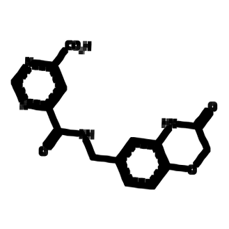 O=C1COc2ccc(CNC(=O)c3cc(C(=O)O)ncn3)cc2N1